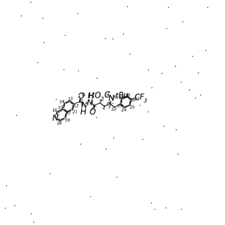 CC(C)(C)N(C(=O)O)[C@H](CCC(=O)NNC(=O)c1ccc2cnccc2c1)Cc1ccc(C(F)(F)F)cc1